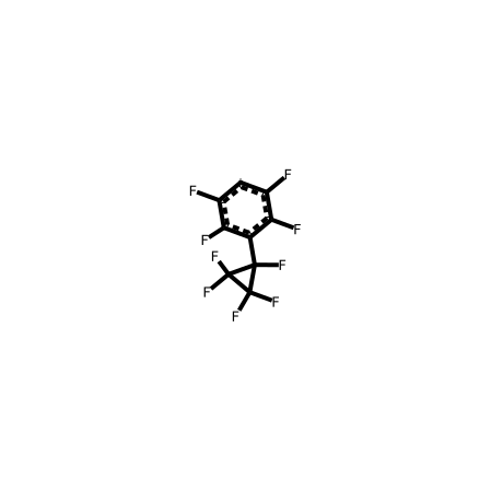 Fc1[c]c(F)c(F)c(C2(F)C(F)(F)C2(F)F)c1F